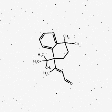 C/C(=C\C=O)C1(C(C)(C)C)CCC(C)(C)c2ccccc21